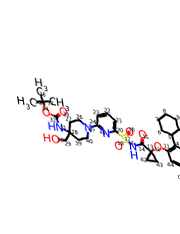 Cc1ccc(C2CCCCC2)c(OC2(C(=O)NS(=O)(=O)c3cccc(N4CCC(CO)(NC(=O)OC(C)(C)C)CC4)n3)CC2)c1